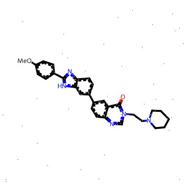 COc1ccc(-c2nc3ccc(-c4ccc5ncn(CCN6CCCCC6)c(=O)c5c4)cc3[nH]2)cc1